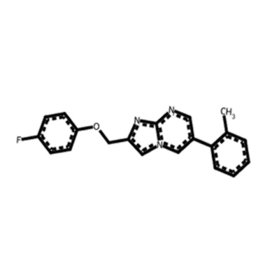 Cc1ccccc1-c1cnc2nc(COc3ccc(F)cc3)cn2c1